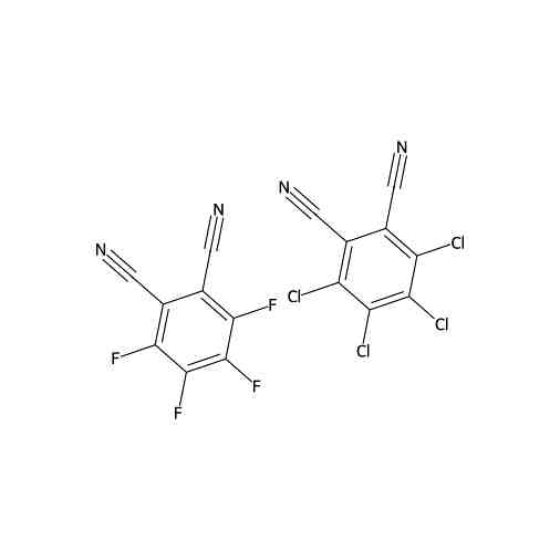 N#Cc1c(Cl)c(Cl)c(Cl)c(Cl)c1C#N.N#Cc1c(F)c(F)c(F)c(F)c1C#N